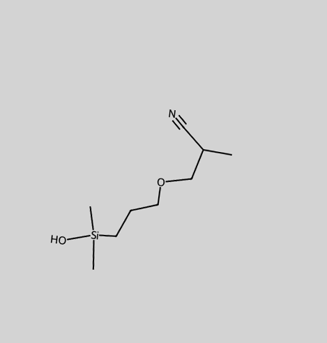 CC(C#N)COCCC[Si](C)(C)O